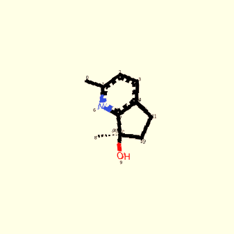 Cc1ccc2c(n1)[C@](C)(O)CC2